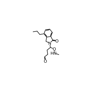 CCCc1cccc2c1CN(C(CCC=O)ONC)C2=O